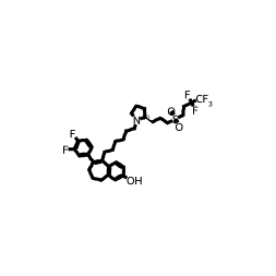 O=S(=O)(CCC[C@@H]1CCCN1CCCCCCC1=C(c2ccc(F)c(F)c2)CCCc2cc(O)ccc21)CCC(F)(F)C(F)(F)F